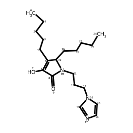 CCCCCC1=C(O)C(=O)N(CCCn2ccnc2)C1CCCCC